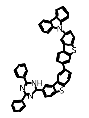 c1ccc(C2=NC(c3ccc4sc5ccc(-c6ccc7c(c6)sc6ccc(-n8c9ccccc9c9ccccc98)cc67)cc5c4c3)NC(c3ccccc3)=N2)cc1